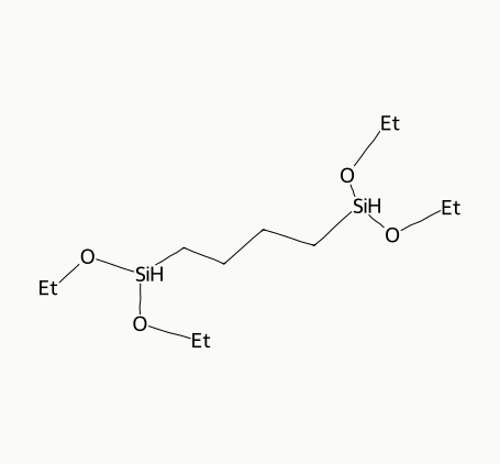 CCO[SiH](CCCC[SiH](OCC)OCC)OCC